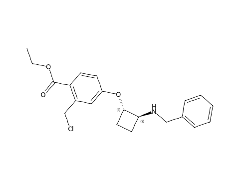 CCOC(=O)c1ccc(O[C@H]2CC[C@@H]2NCc2ccccc2)cc1CCl